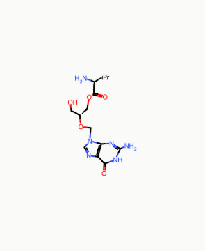 CC(C)C(N)C(=O)OC[C@H](CO)OCn1cnc2c(=O)[nH]c(N)nc21